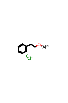 [Al+2][O]CCc1ccccc1.[Cl-].[Cl-]